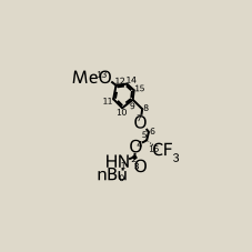 CCCCNC(=O)O[C@H](COCc1ccc(OC)cc1)C(F)(F)F